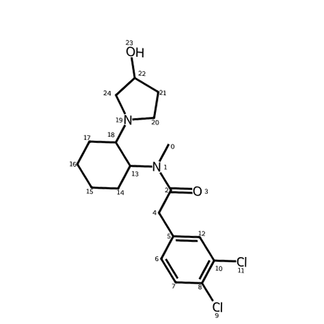 CN(C(=O)Cc1ccc(Cl)c(Cl)c1)C1CCCCC1N1CCC(O)C1